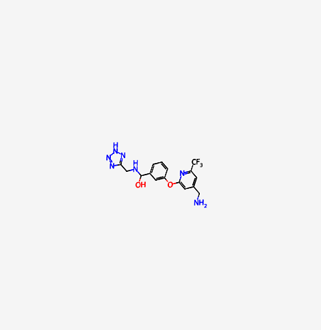 NCc1cc(Oc2cccc(C(O)NCc3nn[nH]n3)c2)nc(C(F)(F)F)c1